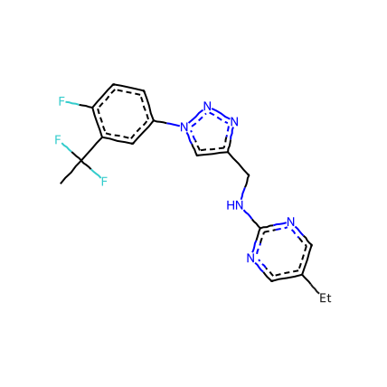 CCc1cnc(NCc2cn(-c3ccc(F)c(C(C)(F)F)c3)nn2)nc1